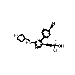 CC(C)(O)C#Cc1cnc(NCC2CCNC2)nc1-c1ccc(C#N)cc1